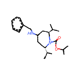 CC(C)OC(=O)N1[C@H](C(C)C)CC(NCc2ccccc2)C[C@H]1C(C)C